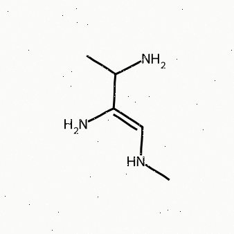 CNC=C(N)C(C)N